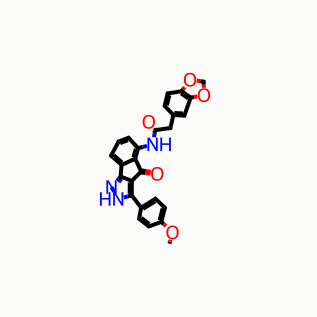 COc1ccc(-c2[nH]nc3c2C(=O)c2c(NC(=O)Cc4ccc5c(c4)OCO5)cccc2-3)cc1